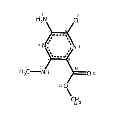 CNc1nc(N)c(Cl)nc1C(=O)OC